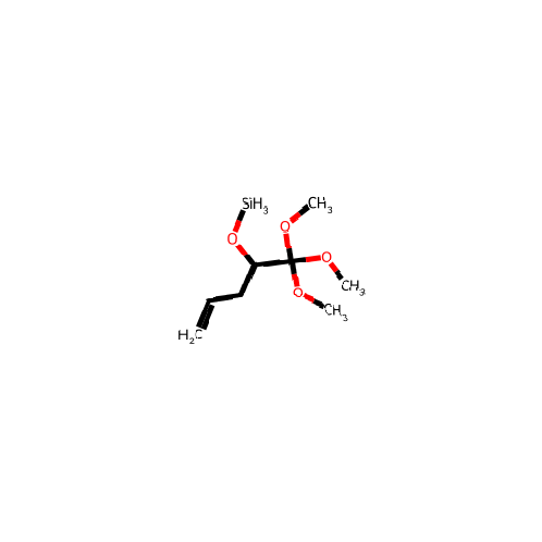 C=CCC(O[SiH3])C(OC)(OC)OC